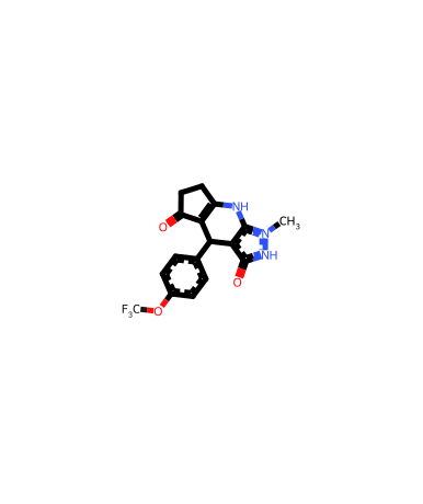 Cn1[nH]c(=O)c2c1NC1=C(C(=O)CC1)C2c1ccc(OC(F)(F)F)cc1